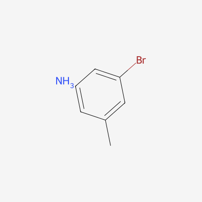 Cc1cccc(Br)c1.N